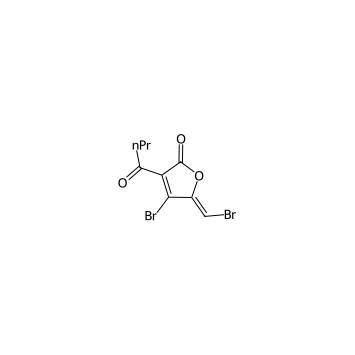 CCCC(=O)C1=C(Br)C(=CBr)OC1=O